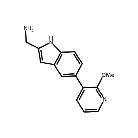 COc1ncccc1-c1ccc2[nH]c(CN)cc2c1